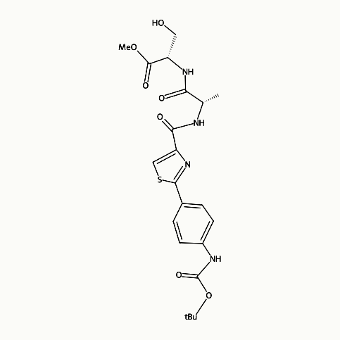 COC(=O)[C@H](CO)NC(=O)[C@H](C)NC(=O)c1csc(-c2ccc(NC(=O)OC(C)(C)C)cc2)n1